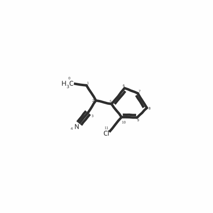 CCC(C#N)c1ccccc1Cl